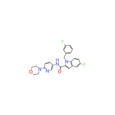 O=C(Nc1ccc(N2CCOCC2)nc1)c1cc2cc(F)ccc2n1Cc1cccc(F)c1